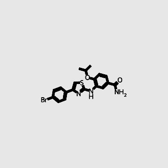 CC(C)Oc1ccc(C(N)=O)cc1Nc1nc(-c2ccc(Br)cc2)cs1